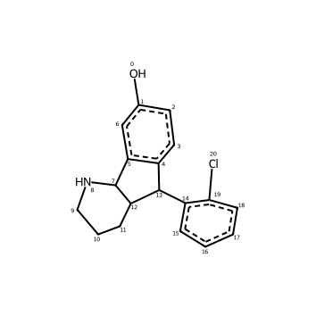 Oc1ccc2c(c1)C1NCCCC1C2c1ccccc1Cl